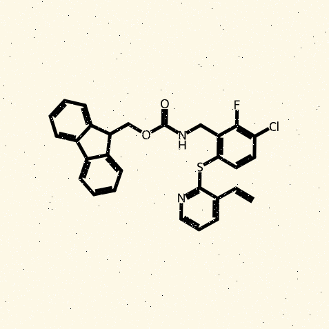 C=Cc1cccnc1Sc1ccc(Cl)c(F)c1CNC(=O)OCC1c2ccccc2-c2ccccc21